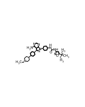 CCN1CCC(c2ccc(-c3nn(-c4ccc(NC(=O)Nc5cc(C(C)(C)C)on5)cc4)c4ncnc(N)c34)cc2)CC1